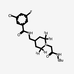 [2H]C1([2H])CC(CNC(=O)c2cc(F)cc(Cl)c2)CC([2H])([2H])N1CC(=O)NC(C)(C)C